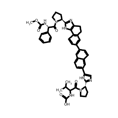 COC(=O)N[C@H](C(=O)N1CCC[C@H]1c1nc2c([nH]1)-c1ccc(-c3ccc4cc(-c5cnc([C@@H]6CCCN6C(=O)C(NC(=O)O)C(C)C)[nH]5)ccc4c3)cc1CC2)c1ccccc1